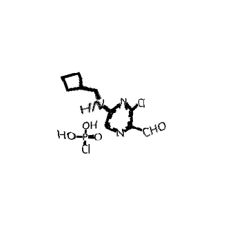 O=Cc1ncc(NCC2CCC2)nc1Cl.O=P(O)(O)Cl